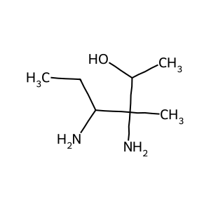 CCC(N)C(C)(N)C(C)O